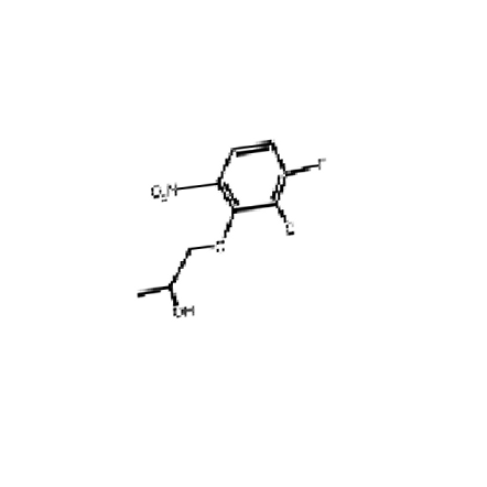 C[C@H](O)COc1c([N+](=O)[O-])ccc(F)c1Cl